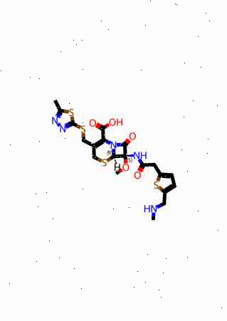 CNCc1ccc(CC(=O)N[C@]2(OC)C(=O)N3C(C(=O)O)=C(CSc4nnc(C)s4)CS[C@@H]32)s1